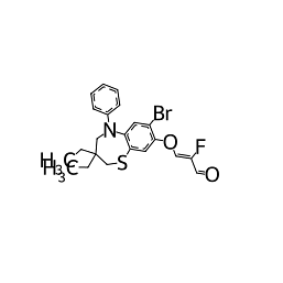 CCC1(CC)CSc2cc(O/C=C(\F)C=O)c(Br)cc2N(c2ccccc2)C1